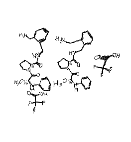 C[C@@H](Nc1ccccc1)C(=O)N1CCC[C@H]1C(=O)NCc1ccccc1CN.C[C@@H](Nc1ccccc1)C(=O)N1CCC[C@H]1C(=O)NCc1ccccc1CN.O=C(O)C(F)(F)F.O=C(O)C(F)(F)F